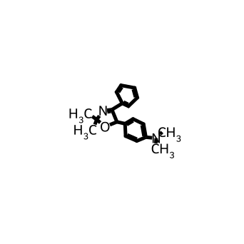 CN(C)c1ccc(C2OC(C)(C)N=C2c2ccccc2)cc1